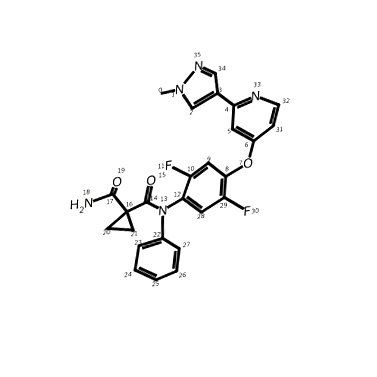 Cn1cc(-c2cc(Oc3cc(F)c(N(C(=O)C4(C(N)=O)CC4)c4ccccc4)cc3F)ccn2)cn1